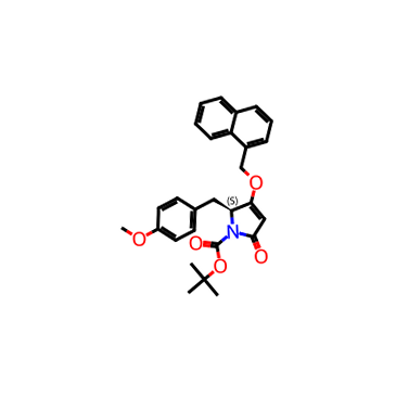 COc1ccc(C[C@H]2C(OCc3cccc4ccccc34)=CC(=O)N2C(=O)OC(C)(C)C)cc1